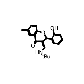 Cc1ccc2c(c1)C(=O)/C(=C\NC(C)(C)C)C(c1ccccc1O)O2